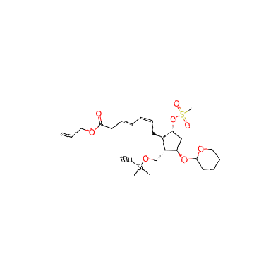 C=CCOC(=O)CCC/C=C\C[C@@H]1[C@@H](CO[Si](C)(C)C(C)(C)C)[C@H](OC2CCCCO2)C[C@H]1OS(C)(=O)=O